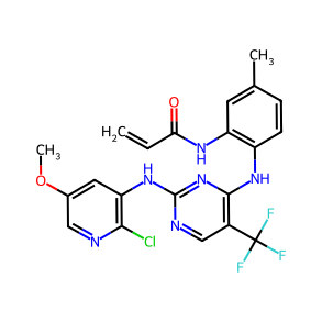 C=CC(=O)Nc1cc(C)ccc1Nc1nc(Nc2cc(OC)cnc2Cl)ncc1C(F)(F)F